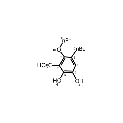 CCCCc1cc(O)c(O)c(C(=O)O)c1OCCC